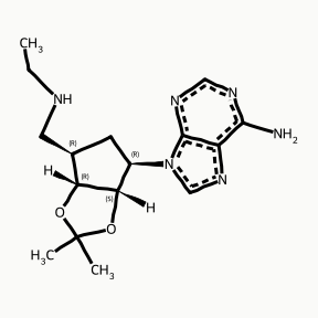 CCNC[C@H]1C[C@@H](n2cnc3c(N)ncnc32)[C@@H]2OC(C)(C)O[C@H]12